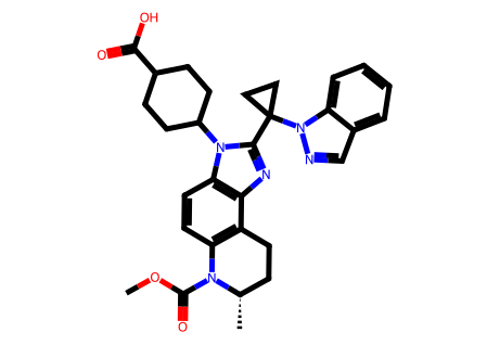 COC(=O)N1c2ccc3c(nc(C4(n5ncc6ccccc65)CC4)n3C3CCC(C(=O)O)CC3)c2CC[C@@H]1C